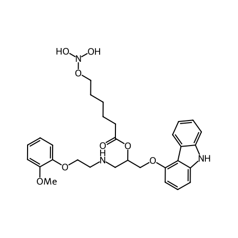 COc1ccccc1OCCNCC(COc1cccc2[nH]c3ccccc3c12)OC(=O)CCCCCON(O)O